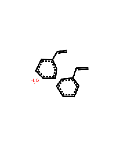 C=Cc1ccccc1.C=Cc1ccccc1.O